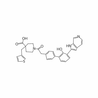 O=C(Cc1ccc(-c2cccc(-c3cc4ccncc4[nH]3)c2O)cc1)N1CCC(Cc2ccsc2)(C(=O)O)CC1